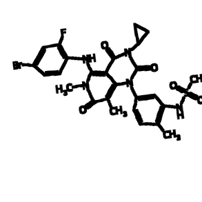 Cc1ccc(-n2c(=O)n(C3CC3)c(=O)c3c(Nc4ccc(Br)cc4F)n(C)c(=O)c(C)c32)cc1NS(C)(=O)=O